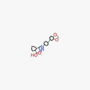 O=C(O)c1ccccc1-c1cn(-c2ccc(-c3ccc4c(c3)OCCO4)cc2)nn1